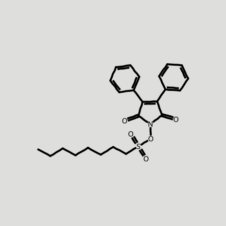 CCCCCCCCS(=O)(=O)ON1C(=O)C(c2ccccc2)=C(c2ccccc2)C1=O